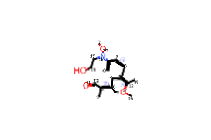 C=C(/C=C\C(C/C(C)=C(/C)C=O)=C(/C)OC)N(CCO)OC